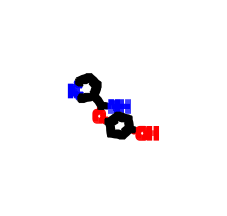 Oc1ccc2c(c1)NC(c1cccnc1)O2